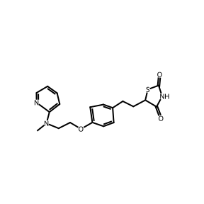 CN(CCOc1ccc(CCC2SC(=O)NC2=O)cc1)c1ccccn1